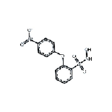 O=[N+]([O-])c1ccc(Oc2ccccc2S(=O)(=O)NO)cc1